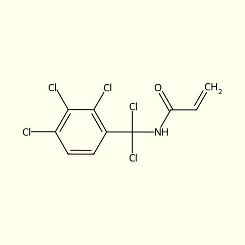 C=CC(=O)NC(Cl)(Cl)c1ccc(Cl)c(Cl)c1Cl